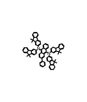 CC1(C)C2=C(C=CCC2)c2ccc(N(C3=CCC4C(=C3)C(C)(C)c3ccccc34)c3c4ccccc4c(N(c4ccc5c(c4)-c4ccccc4C5(C)C)c4ccc5c(c4)C(C)(C)c4ccccc4-5)c4ccc(-c5ccccc5)cc34)cc21